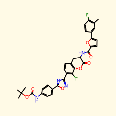 Cc1cc(-c2ccc(C(=O)N[C@H](Cc3ccc(-c4noc(-c5ccc(NC(=O)OC(C)(C)C)cc5)n4)c(F)c3)C(=O)O)o2)ccc1F